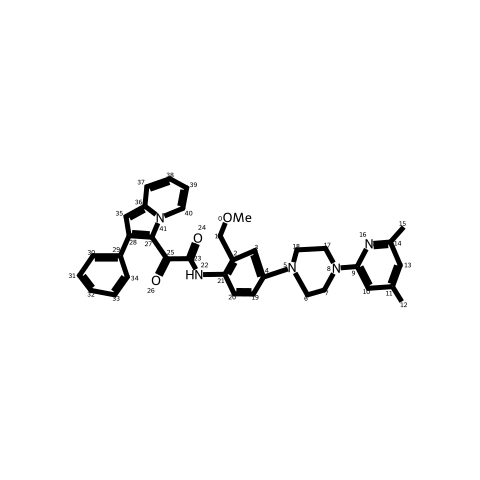 COCc1cc(N2CCN(c3cc(C)cc(C)n3)CC2)ccc1NC(=O)C(=O)c1c(-c2ccccc2)cc2ccccn12